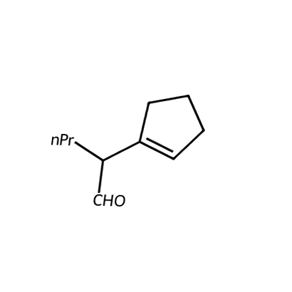 CCCC(C=O)C1=CCCC1